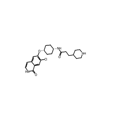 O=C(CCC1CCNCC1)N[C@H]1CC[C@@H](Oc2cc3cc[nH]c(=O)c3cc2Cl)CC1